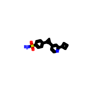 NS(=O)(=O)c1ccc(C2CC2c2ccnc(C3CCC3)c2)cc1